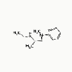 CCNC(C)CN(C)c1[c]cccc1